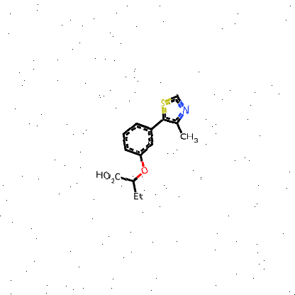 CCC(Oc1cccc(-c2scnc2C)c1)C(=O)O